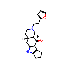 O=C1c2c([nH]c3c2CCC3)C[C@@H]2CCN(CCc3ccco3)C[C@@H]12